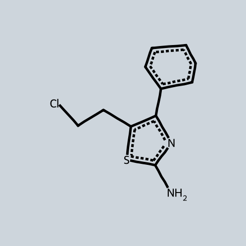 Nc1nc(-c2ccccc2)c(CCCl)s1